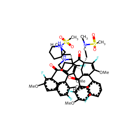 COC1=C(F)[C@](CCN(C)S(C)(=O)=O)(C(=O)[C@@]2(CCN(C)S(C)(=O)=O)C(F)=C(OC)C(c3cccc(F)c3C)=C(C(=O)c3cccc(OC)c3F)[C@@H]2C2CCCNC2)[C@@H](C2CCCNC2)C(C(=O)c2cccc(OC)c2F)=C1c1cccc(F)c1C